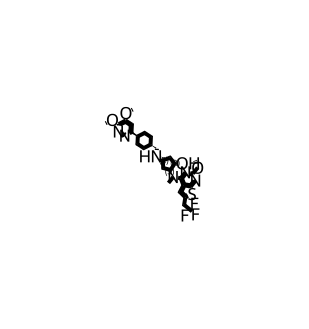 COc1nc(N(C)[C@H]2C[C@@H](NC[C@H]3CC[C@H](c4cc(OC)c(OC)nn4)CC3)C[C@H]2O)c2cc(CC(F)(F)F)sc2n1